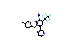 Cc1ccc(Cn2c(-c3cnccn3)cc(C(F)(F)C(F)(F)F)c(C#N)c2=O)cc1